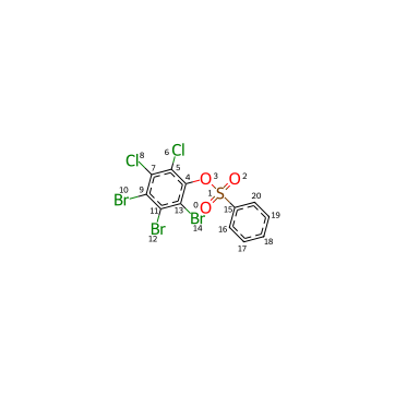 O=S(=O)(Oc1c(Cl)c(Cl)c(Br)c(Br)c1Br)c1ccccc1